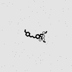 CCOC(=O)CC1(CC(=O)OCC)CCC(CCCC2CCC(CC)CC2)CC1